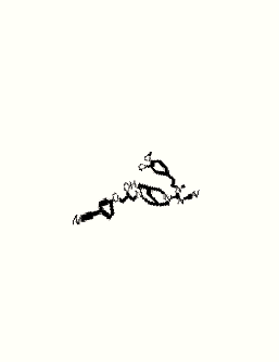 COc1ccc(CCN(C)/C(=N\C#N)N2CC3CC(CN(CC(O)COc4ccc(C#N)cc4)C3)C2)cc1OC